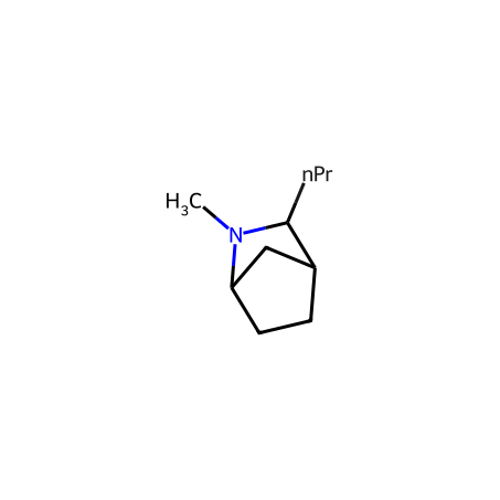 CCCC1C2CCC(C2)N1C